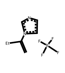 C=C(CC)n1ccnc1.F[B-](F)(F)F